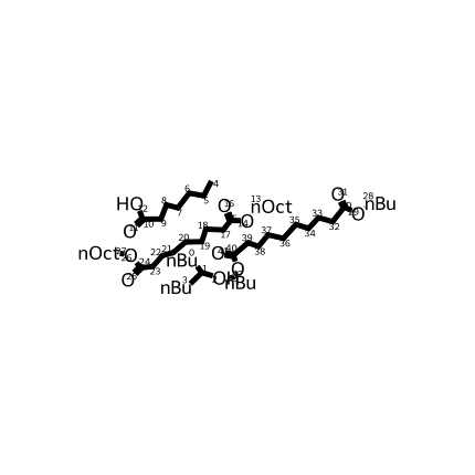 CCCCC(O)CCCC.CCCCCCC(=O)O.CCCCCCCCOC(=O)CCCCCCCC(=O)OCCCCCCCC.CCCCOC(=O)CCCCCCCCC(=O)OCCCC